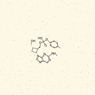 Cc1ccc(OP(=O)(O)OC[C@@H]2[C@@H](CO)C[C@H]2n2cnc3cnc(N)nc32)cc1